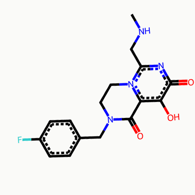 CNCc1nc(=O)c(O)c2n1CCN(Cc1ccc(F)cc1)C2=O